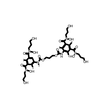 O=C(Nc1c(I)c(C(=O)N(O)CCCO)c(I)c(C(=O)N(O)CCCO)c1I)OCCCOC(=O)N(I)c1cc(C(=O)N(O)CCCO)c(I)c(C(=O)N(O)CCCO)c1I